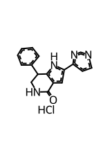 Cl.O=C1NCC(c2ccccc2)c2[nH]c(-c3ccncn3)cc21